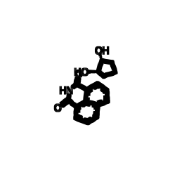 O=C1NC(=O)c2cccc3cccc1c23.O[C@@H]1CCC[C@H]1O